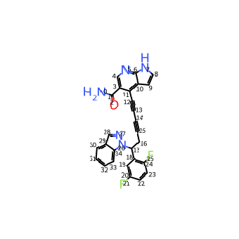 NC(=O)c1cnc2[nH]ccc2c1C#CC#CCC(c1cc(F)ccc1F)n1ncc2ccccc21